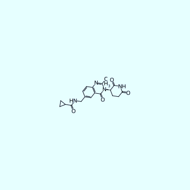 Cc1nc2ccc(CNC(=O)C3CC3)cc2c(=O)n1[C@@H]1CCC(=O)NC1=O